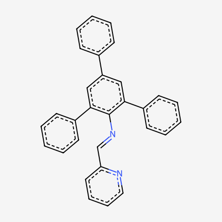 C(=N\c1c(-c2ccccc2)cc(-c2ccccc2)cc1-c1ccccc1)/c1ccccn1